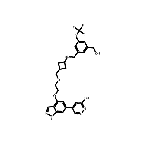 OCc1cc(CNC2CC(COCCOc3cc(-c4cnnc(O)c4)cc4[nH]ncc34)C2)cc(OC(F)(F)F)c1